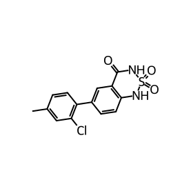 Cc1ccc(-c2ccc3c(c2)C(=O)NS(=O)(=O)N3)c(Cl)c1